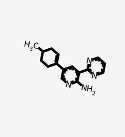 CC1CC=C(c2cnc(N)c(-c3ncccn3)c2)CC1